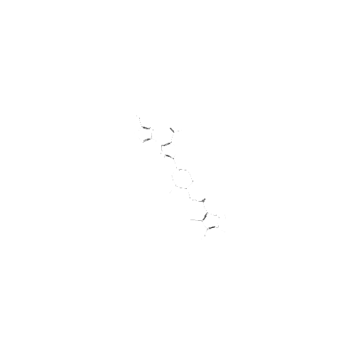 Cc1[nH]c(C(=O)N[C@@H]2CCN(c3nc(-c4csc(N)n4)c(C(=O)O)s3)C[C@@H]2C)c(Cl)c1Cl